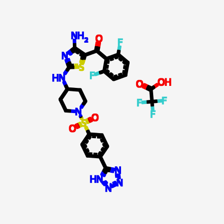 Nc1nc(NC2CCN(S(=O)(=O)c3ccc(-c4nnn[nH]4)cc3)CC2)sc1C(=O)c1c(F)cccc1F.O=C(O)C(F)(F)F